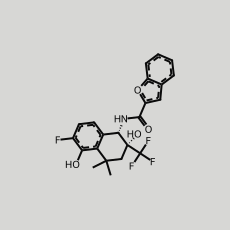 CC1(C)C[C@](O)(C(F)(F)F)[C@@H](NC(=O)c2cc3ccccc3o2)c2ccc(F)c(O)c21